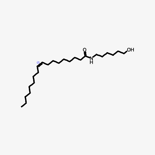 CCCCCCCC/C=C\CCCCCCCC(=O)NCCCCCCO